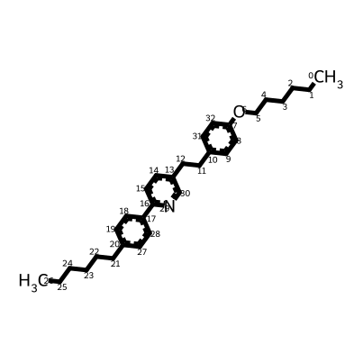 CCCCCCOc1ccc(CCc2ccc(-c3ccc(CCCCCC)cc3)nc2)cc1